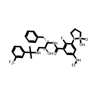 CCNc1cc(C(=O)N[C@@H](Cc2ccccc2)[C@@H](O)CNC(C)(C)c2cccc(C(F)(F)F)c2)c(F)c(N2CCCS2(O)O)c1